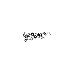 Cc1c(-c2nc3cc(CN4CCC[C@H]4C(=O)O)c(OC(F)F)cc3o2)cccc1-c1cccc(-c2nc3cc(CN4CC(C)(F)C4)cc(C#N)c3o2)c1C